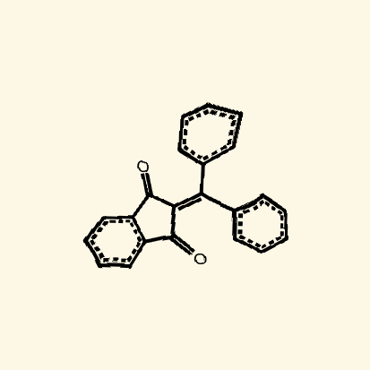 O=C1C(=C(c2ccccc2)c2ccccc2)C(=O)c2ccccc21